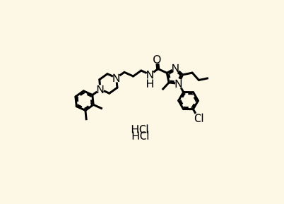 CCCc1nc(C(=O)NCCCN2CCN(c3cccc(C)c3C)CC2)c(C)n1-c1ccc(Cl)cc1.Cl.Cl